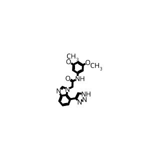 COc1cc(NC(=O)Cn2cnc3cccc(-c4c[nH]nn4)c32)cc(OC)c1